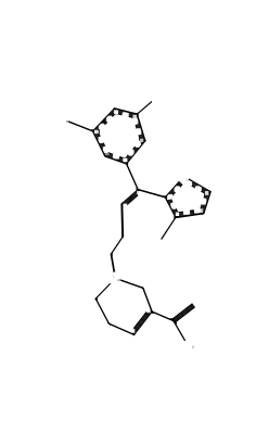 Cc1ccsc1C(=CCCN1CCC=C(C(=O)O)C1)c1cc(Cl)cc(Cl)c1